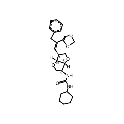 O=C(NC1CCCCC1)N[C@H]1CO[C@H]2[C@@H]1OC[C@@H]2C=C(Cc1ccccc1)C1=COCO1